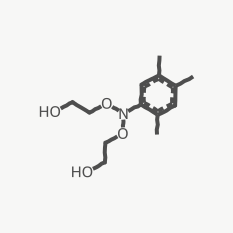 Cc1cc(C)c(N(OCCO)OCCO)cc1C